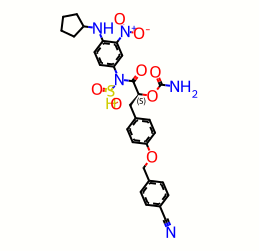 N#Cc1ccc(COc2ccc(C[C@H](OC(N)=O)C(=O)N(c3ccc(NC4CCCC4)c([N+](=O)[O-])c3)[SH](=O)=O)cc2)cc1